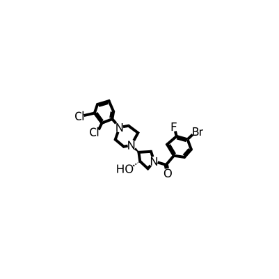 O=C(c1ccc(Br)c(F)c1)N1C[C@H](O)[C@@H](N2CCN(c3cccc(Cl)c3Cl)CC2)C1